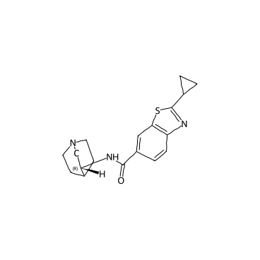 O=C(N[C@H]1CN2CCC1CC2)c1ccc2nc(C3CC3)sc2c1